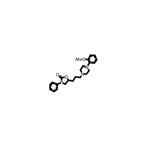 COc1ccccc1N1CCN(CCCC2CN(c3ccccc3)C(=O)O2)CC1